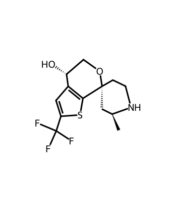 C[C@H]1C[C@@]2(CCN1)OC[C@@H](O)c1cc(C(F)(F)F)sc12